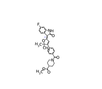 COC(=O)C1CCN(C(=O)c2ccc(C3=C/C(=C4\C(=O)Nc5cc(F)ccc54)OC3(C)C)cc2)CC1